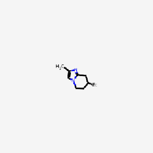 CCC1CCn2cc(C)nc2C1